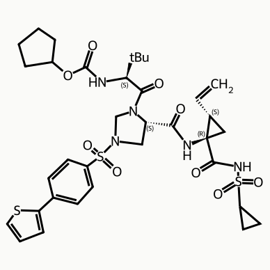 C=C[C@@H]1C[C@]1(NC(=O)[C@@H]1CN(S(=O)(=O)c2ccc(-c3cccs3)cc2)CN1C(=O)[C@@H](NC(=O)OC1CCCC1)C(C)(C)C)C(=O)NS(=O)(=O)C1CC1